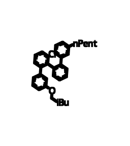 CCCCCc1cccc(-c2ccccc2-c2c(Cl)cccc2-c2cccc(OCC(C)CC)c2)c1